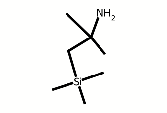 CC(C)(N)C[Si](C)(C)C